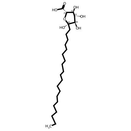 CCCCCCCCCCCCCCCCCCCC[C@@]1(O)O[C@H](C(=O)O)[C@@H](O)[C@H](O)[C@H]1O